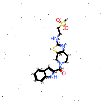 CS(=O)(=O)CCNc1nc2c(s1)CN(C(=O)c1cc3ccccc3[nH]1)CC2